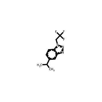 CC(C)c1ccc2c(c1)nnn2CC(F)(F)F